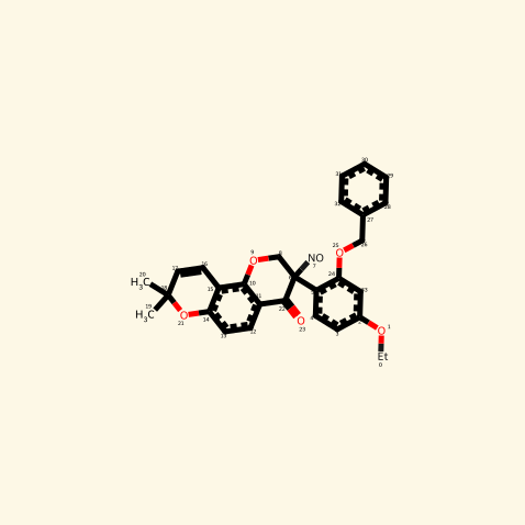 CCOc1ccc(C2(N=O)COc3c(ccc4c3C=CC(C)(C)O4)C2=O)c(OCc2ccccc2)c1